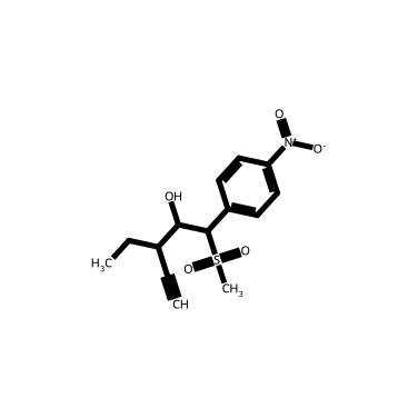 C#CC(CC)C(O)C(c1ccc([N+](=O)[O-])cc1)S(C)(=O)=O